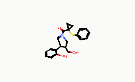 O=C(N1CC(CO)C(c2ccccc2O)C1)C1(Sc2ccccc2)CC1